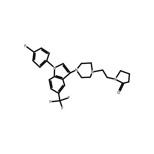 O=C1CCCN1CCN1CCN(c2cn(-c3ccc(F)cc3)c3ccc(C(F)(F)F)cc23)CC1